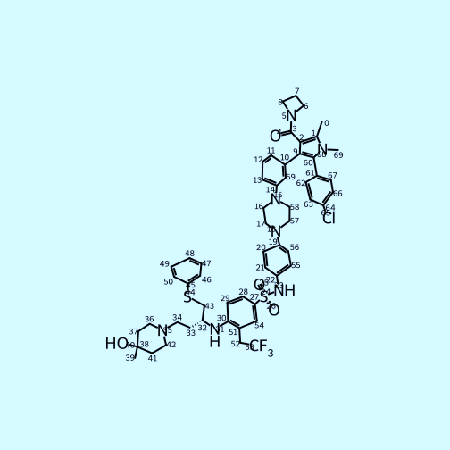 Cc1c(C(=O)N2CCC2)c(-c2cccc(N3CCN(c4ccc(NS(=O)(=O)c5ccc(N[C@H](CCN6CCC(C)(O)CC6)CSc6ccccc6)c(CC(F)(F)F)c5)cc4)CC3)c2)c(-c2ccc(Cl)cc2)n1C